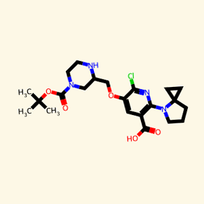 CC(C)(C)OC(=O)N1CCNC(COc2cc(C(=O)O)c(N3CCCC34CC4)nc2Cl)C1